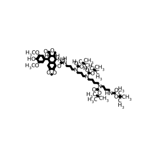 COc1cc(C2c3cc4c(cc3[C@@H](NC(=O)NCCCN(CCCN(CCCCN(CCCNC(=O)OC(C)(C)C)C(=O)OC(C)(C)C)C(=O)OC(C)(C)C)C(=O)OC(C)(C)C)[C@H]3COC(=O)[C@H]23)OCO4)cc(OC)c1O